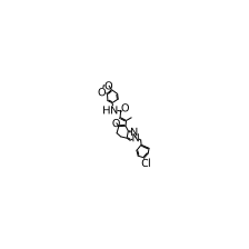 Cc1c(C(=O)Nc2ccc3c(c2)OCO3)oc2c1-c1nn(Cc3ccc(Cl)cc3)cc1CC2